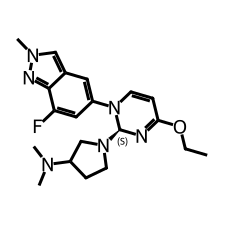 CCOC1=N[C@@H](N2CCC(N(C)C)C2)N(c2cc(F)c3nn(C)cc3c2)C=C1